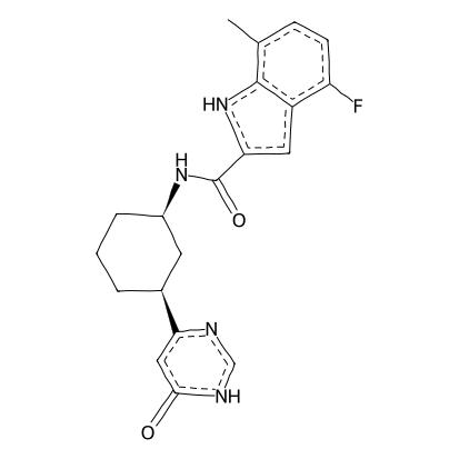 Cc1ccc(F)c2cc(C(=O)N[C@@H]3CCC[C@H](c4cc(=O)[nH]cn4)C3)[nH]c12